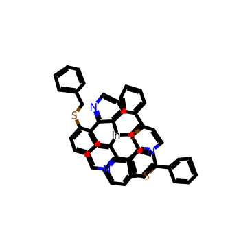 c1ccc(CSc2ccccc2-c2nccc[c]2[In]([c]2cccnc2-c2ccccc2SCc2ccccc2)[c]2cccnc2-c2ccccc2SCc2ccccc2)cc1